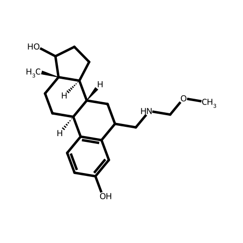 COCNCC1C[C@@H]2[C@H](CC[C@]3(C)C(O)CC[C@@H]23)c2ccc(O)cc21